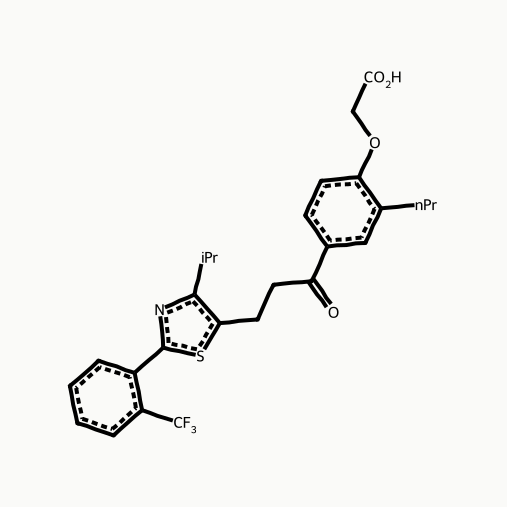 CCCc1cc(C(=O)CCc2sc(-c3ccccc3C(F)(F)F)nc2C(C)C)ccc1OCC(=O)O